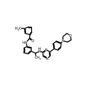 Cc1cccc(C(=O)Nc2cccc(C(C)Nc3cncc(-c4ccc(N5CCOCC5)cc4)n3)c2)c1